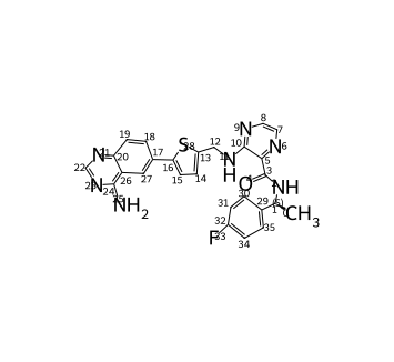 C[C@H](NC(=O)c1nccnc1NCc1ccc(-c2ccc3ncnc(N)c3c2)s1)c1ccc(F)cc1